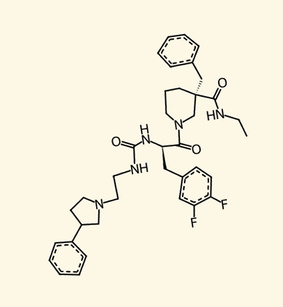 CCNC(=O)[C@]1(Cc2ccccc2)CCCN(C(=O)[C@@H](Cc2ccc(F)c(F)c2)NC(=O)NCCN2CCC(c3ccccc3)C2)C1